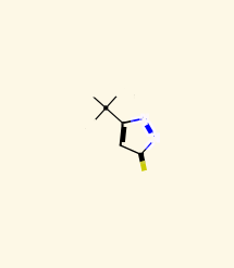 CC(C)(C)C1=CC(=S)N=N1